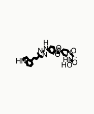 C[C@H](NC(=O)O)C(=O)N1CCC(S(=O)(=O)c2ccc(Nc3ncc(C=Cc4cccc5[nH]ccc45)cn3)cc2)CC1